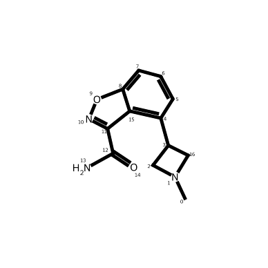 CN1CC(c2cccc3onc(C(N)=O)c23)C1